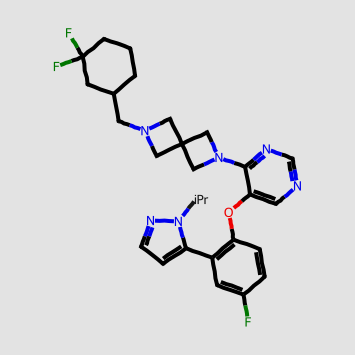 CC(C)n1nccc1-c1cc(F)ccc1Oc1cncnc1N1CC2(CN(CC3CCCC(F)(F)C3)C2)C1